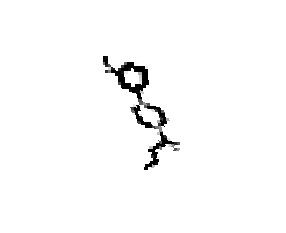 [CH2]CCC(Cl)N1CCN(c2cccc(OC)c2)CC1